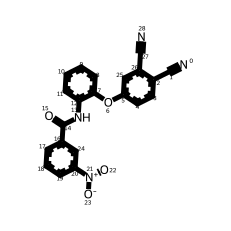 N#Cc1ccc(Oc2ccccc2NC(=O)c2cccc([N+](=O)[O-])c2)cc1C#N